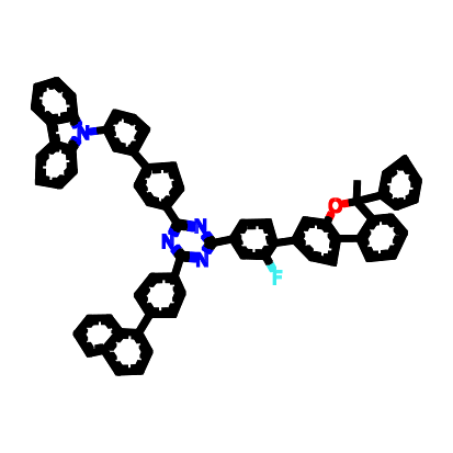 CC1(c2ccccc2)Oc2cc(-c3ccc(-c4nc(-c5ccc(-c6cccc(-n7c8ccccc8c8ccccc87)c6)cc5)nc(-c5ccc(-c6cccc7ccccc67)cc5)n4)cc3F)ccc2-c2ccccc21